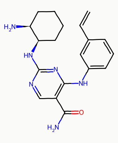 C=Cc1cccc(Nc2nc(N[C@@H]3CCCC[C@@H]3N)ncc2C(N)=O)c1